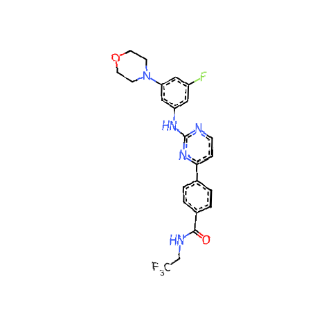 O=C(NCC(F)(F)F)c1ccc(-c2ccnc(Nc3cc(F)cc(N4CCOCC4)c3)n2)cc1